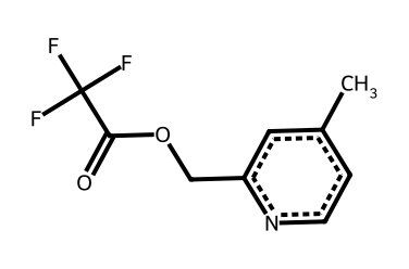 Cc1ccnc(COC(=O)C(F)(F)F)c1